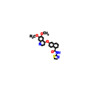 COc1cc2nccc(Oc3ccc4c(C(=O)Nc5nccs5)cccc4c3)c2cc1OC